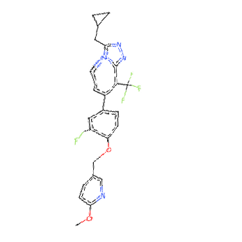 COc1ccc(COc2ccc(-c3ccn4c(CC5CC5)nnc4c3C(F)(F)F)cc2F)cn1